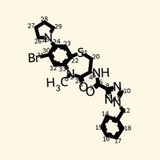 CN1C(=O)[C@@H](NC(=O)c2ncn(Cc3ccccc3)n2)CSc2cc(N3CCCC3)c(Br)cc21